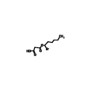 CCCCCC(Br)OC(=O)CC(=O)O